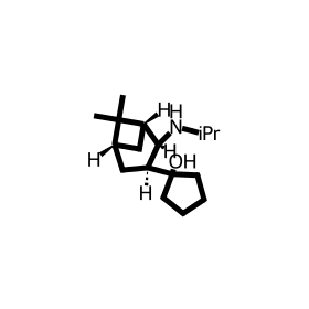 CC(C)N[C@H]1[C@@H](C2(O)CCCC2)C[C@H]2C[C@@H]1C2(C)C